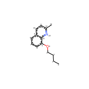 CCCCOc1cccc2ccc(C)nc12